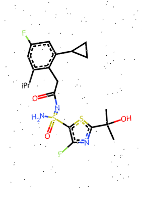 CC(C)c1cc(F)cc(C2CC2)c1CC(=O)N=S(N)(=O)c1sc(C(C)(C)O)nc1F